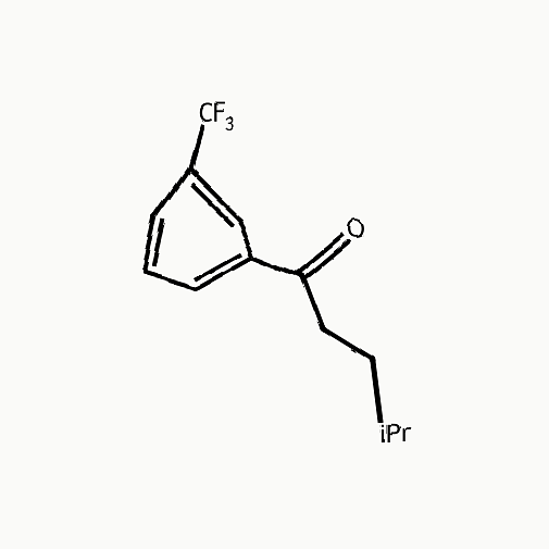 CC(C)CCC(=O)c1cccc(C(F)(F)F)c1